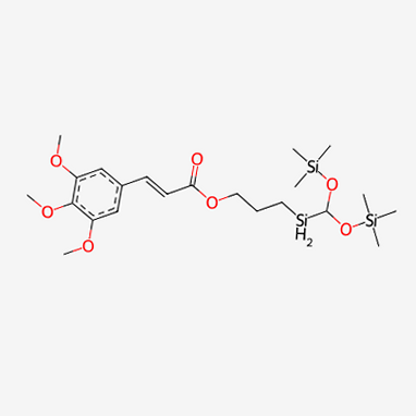 COc1cc(C=CC(=O)OCCC[SiH2]C(O[Si](C)(C)C)O[Si](C)(C)C)cc(OC)c1OC